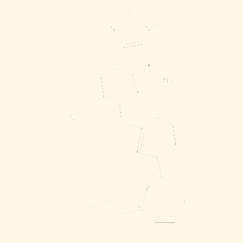 COCC[C@@H](C)N1CCCCC(c2cccc(Oc3cc(C(C)(N)c4cncn4C)ccc3C#N)c2)C1=O